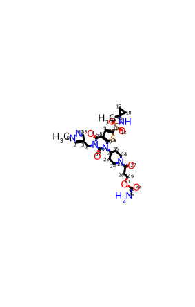 Cn1cc(Cn2c(=O)c3cc(S(=O)(=O)NC4(C)CC4)sc3n(C3CCN(C(=O)CCOC(N)=O)CC3)c2=O)cn1